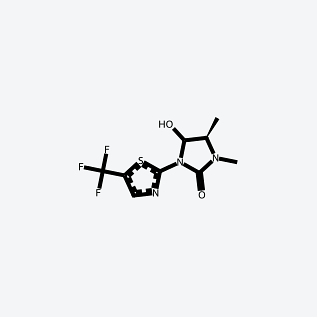 C[C@@H]1C(O)N(c2ncc(C(F)(F)F)s2)C(=O)N1C